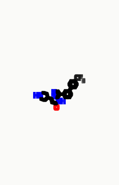 O=c1cc(C2CCNCC2)n2ncc(-c3cccc(-c4ccc(C(F)(F)F)cc4)c3)c2[nH]1